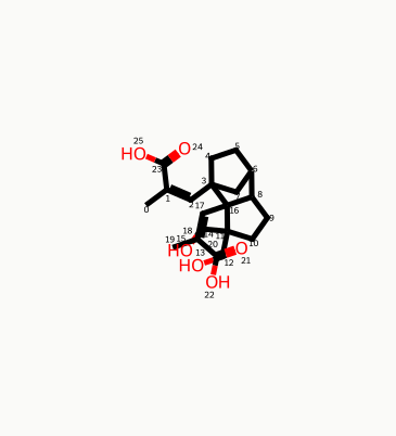 CC(=CC12CCC(C1)C1CCC(CO)(CO)C12C=C(C)C(=O)O)C(=O)O